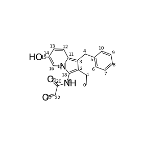 CCc1c(Cc2ccccc2)c2ccc(O)cn2c1NC(=O)C=O